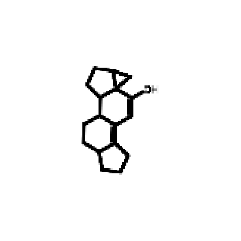 OC1=CC2=C3CCCC3CCC2C2CCC3CC132